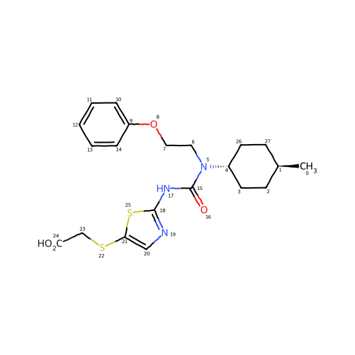 C[C@H]1CC[C@H](N(CCOc2ccccc2)C(=O)Nc2ncc(SCC(=O)O)s2)CC1